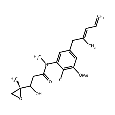 C=C/C=C(\C)Cc1cc(OC)c(Cl)c(N(C)C(=O)CC(O)[C@@]2(C)CO2)c1